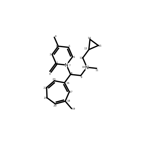 C=C1C=C(C)C=CN1C(CN(C)CC1CC1)C1=CC(C)=CCC=C1